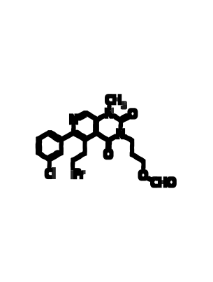 CC(C)CCc1c(-c2cccc(Cl)c2)ncc2c1c(=O)n(CCCOC=O)c(=O)n2C